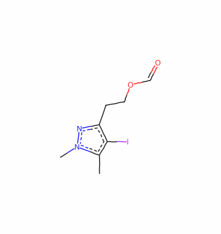 Cc1c(I)c(CCOC=O)nn1C